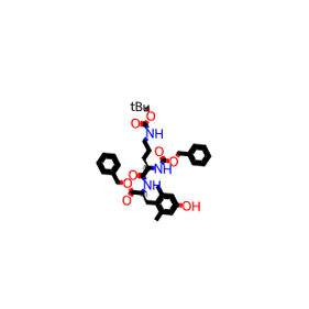 Cc1cc(O)cc(C)c1C[C@H](NC(=O)[C@@H](CCCNC(=O)OC(C)(C)C)NC(=O)OCc1ccccc1)C(=O)OCc1ccccc1